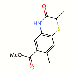 COC(=O)c1cc2c(cc1C)SC(C)C(=O)N2